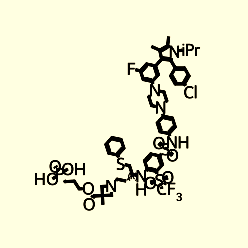 Cc1c(-c2cc(F)cc(N3CCN(c4ccc(NS(=O)(=O)c5ccc(N[C@H](CCN6CC(C)(C(=O)OCCCP(=O)(O)O)C6)CSc6ccccc6)c(S(=O)(=O)C(F)(F)F)c5)cc4)CC3)c2)c(-c2ccc(Cl)cc2)n(C(C)C)c1C